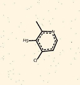 Cc1nccc(Cl)c1S